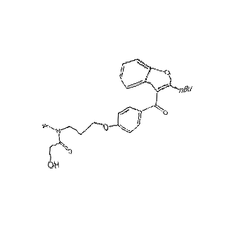 CCCCc1oc2ccccc2c1C(=O)c1ccc(OCCCN(C(=O)CO)C(C)C)cc1